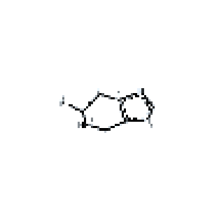 CCC1Cn2ncnc2CN1